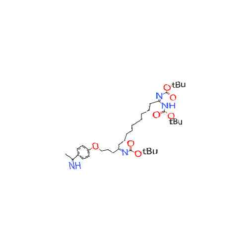 CC(=N)c1ccc(OCCC/C(CCCCCCCCC/C(=N/C(=O)OC(C)(C)C)NC(=O)OC(C)(C)C)=N/C(=O)OC(C)(C)C)cc1